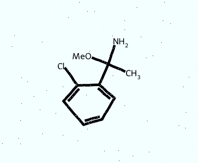 COC(C)(N)c1ccccc1Cl